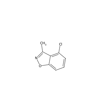 Cc1noc2cccc(Cl)c12